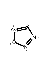 C1=[As]ON=N1